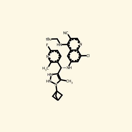 CC1=C([C@@H](Nc2cc(Cl)c3ncc(C#N)c(NCC(C)(C)C)c3c2)c2ccc(F)nc2C)NNN1C12CC(C1)C2